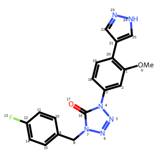 COc1cc(-n2nnn(Cc3ccc(F)cc3)c2=O)ccc1-c1cn[nH]c1